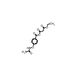 CCOC(=O)CC(=O)OC(=O)c1ccc(ONC(N)=O)cc1